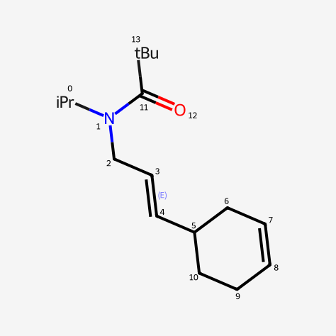 CC(C)N(C/C=C/C1CC=CCC1)C(=O)C(C)(C)C